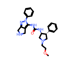 COCCN1C[C@@H](NC(=O)Nc2c3c(nn2-c2ccccc2)CNC3)[C@H](c2ccccc2)C1